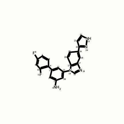 Nc1cc(-c2ccc(F)cc2F)cc(-n2cnc3cc(-c4cc[nH]n4)ccc32)c1